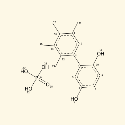 Cc1cc(-c2cc(O)ccc2O)c(C)c(C)c1C.O=P(O)(O)O